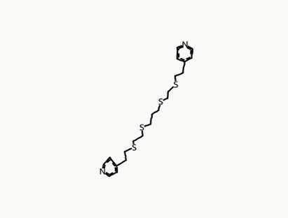 c1cc(CCSCCSCCCSCCSCCc2ccncc2)ccn1